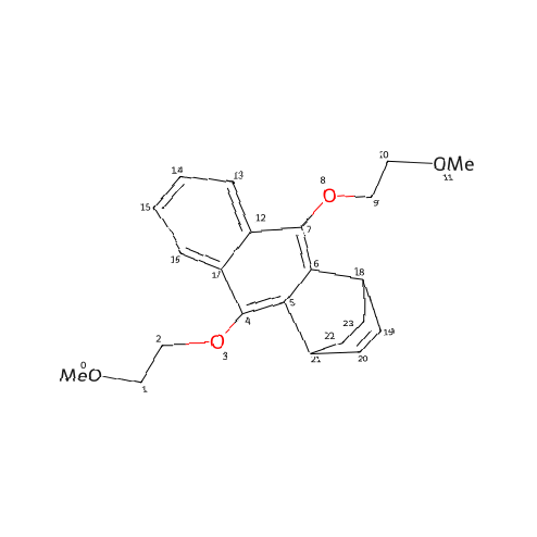 COCCOc1c2c(c(OCCOC)c3ccccc13)C1C=CC2CC1